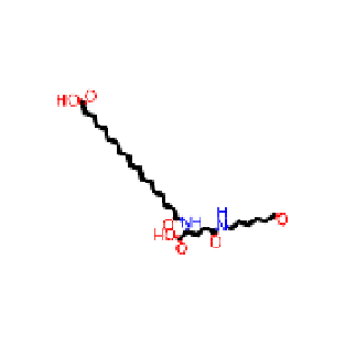 O=CCCCCCNC(=O)CCC(NC(=O)CCCCCCCCCCCCCCCCC(=O)O)C(=O)O